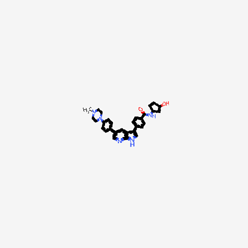 CN1CCN(c2ccc(-c3cnc4[nH]cc(-c5ccc(C(=O)NC6CCC(O)C6)cc5)c4c3)cc2)CC1